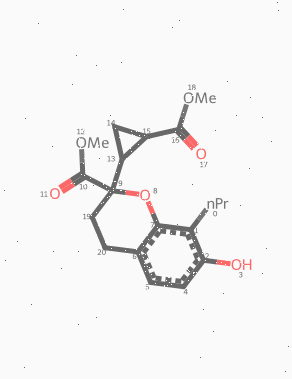 CCCc1c(O)ccc2c1OC(C(=O)OC)(C1CC1C(=O)OC)CC2